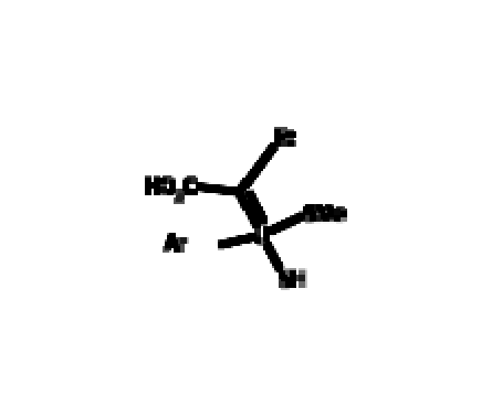 CC[C](C(=O)O)=[U]([CH3])([SH])[S]C.[Ar]